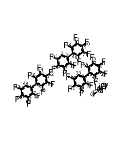 Fc1cc(-c2c(F)c(F)c(F)c(F)c2F)c(F)c(F)c1F.Fc1cc(-c2c(F)c(F)c(F)c(F)c2F)c(F)c(F)c1F.Fc1cc(-c2c(F)c(F)c(F)c(F)c2F)c(F)c(F)c1F.[LiH].[O]=[Al][F]